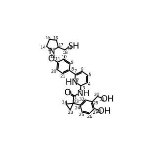 O=C(NC1C=CC=C(c2ccc(ON3CCCC3CS)cc2)N1)C1(c2ccc(O)c(CO)c2)CC1